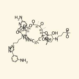 CC[C@H]1OC(=O)[C@H](C)C(=O)[C@H](C)[C@@H](O[C@@H]2O[C@H](C)CC(N(C)CCCS(C)(=O)=O)C2O)[C@](C)(OC)C[C@@H](C)CN[C@H](C)[C@H]2N(CCCCn3cc(-c4cccc(N)c4)nn3)C(=O)O[C@]12n1ccc(N)nc1=O